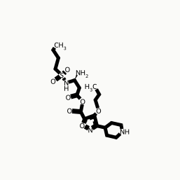 CCCCS(=O)(=O)N[C@H](N)CC(=O)OC(=O)c1onc(C2CCNCC2)c1OCCC